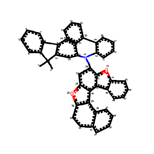 CC1(C)c2ccccc2-c2ccc(N(c3ccccc3-c3ccccc3)c3cc4oc5ccc6ccccc6c5c4c4c3oc3ccccc34)cc21